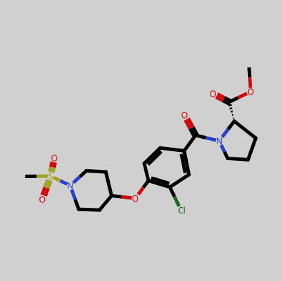 COC(=O)[C@@H]1CCCN1C(=O)c1ccc(OC2CCN(S(C)(=O)=O)CC2)c(Cl)c1